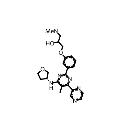 CNCC(O)COc1cccc(-c2nc(N[C@@H]3CCOC3)c(C)c(-c3cnccn3)n2)c1